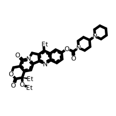 CCO[C@]1(CC)C(=O)OCc2c1cc1n(c2=O)Cc2c-1nc1ccc(OC(=O)N3CCC(N4CCCCC4)CC3)cc1c2CC